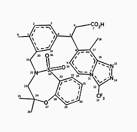 Cc1ccc(C(CC(=O)O)c2ccn3c(C(F)(F)F)nnc3c2C)cc1CN1CC(C)(C)Oc2ccccc2S1(=O)=O